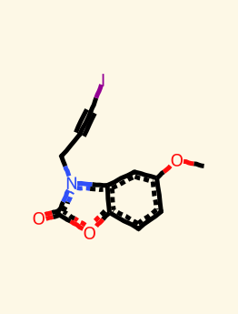 COc1ccc2oc(=O)n(CC#CI)c2c1